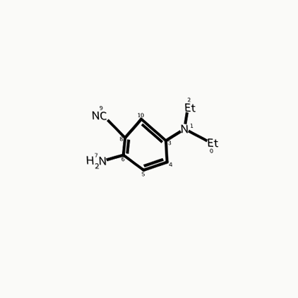 CCN(CC)c1ccc(N)c(C#N)c1